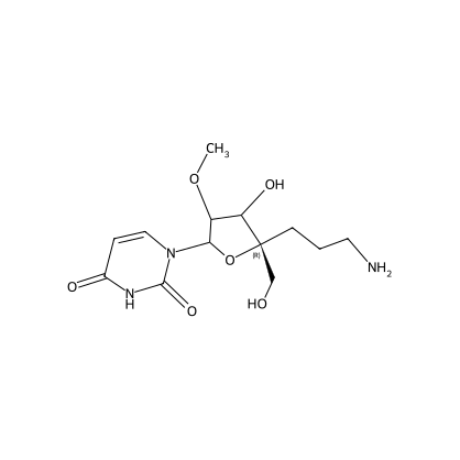 COC1C(n2ccc(=O)[nH]c2=O)O[C@@](CO)(CCCN)C1O